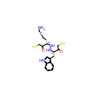 NCCCC[C@H](NN[C@@H](Cc1c[nH]c2ccccc12)C(=O)CS)C(=O)CS